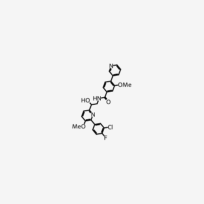 COc1cc(C(=O)NCC(O)c2ccc(OC)c(-c3ccc(F)c(Cl)c3)n2)ccc1-c1cccnc1